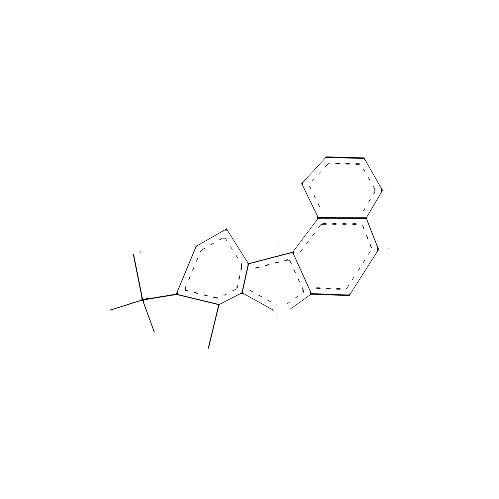 Cc1c(C(C)(C)C)ccc2c1oc1ccc3ccccc3c12